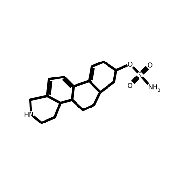 NS(=O)(=O)OC1CC=C2C3=CC=C4CNCCC4C3CCC2C1